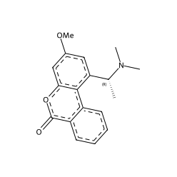 COc1cc([C@@H](C)N(C)C)c2c(c1)oc(=O)c1ccccc12